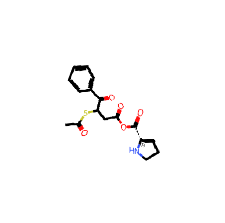 CC(=O)SC(CC(=O)OC(=O)[C@@H]1CCCN1)C(=O)c1ccccc1